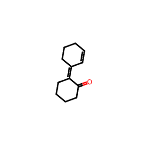 O=C1CCCC/C1=C1/C=CCCC1